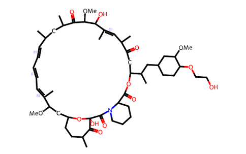 COC1CC2CCC(C)C(=O)C(O)(O2)C(=O)N2CCCCC2C(=O)OC(C(C)CC2CCC(OCCO)C(OC)C2)CC(=O)C(C)/C=C(\C)C(O)C(OC)C(=O)C(C)CC(C)/C=C/C=C/C=C/1C